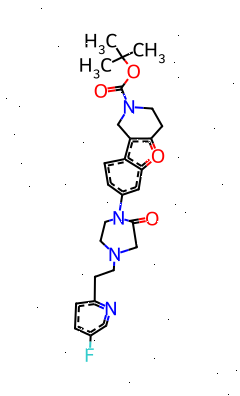 CC(C)(C)OC(=O)N1CCc2oc3cc(N4CCN(CCc5ccc(F)cn5)CC4=O)ccc3c2C1